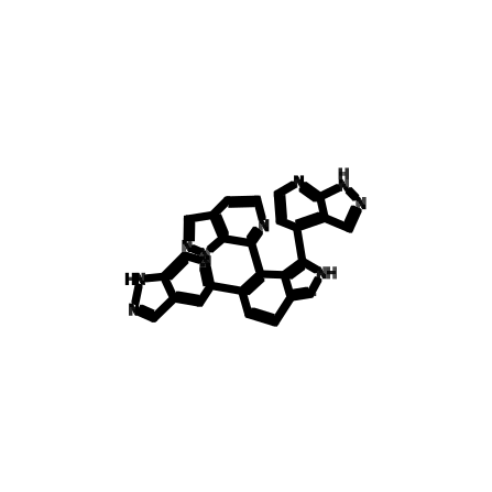 [c]1[nH]c(-c2ccnc3[nH]ncc23)c2c(-c3nccc4cn[nH]c34)c(-c3cc4cn[nH]c4cn3)ccc12